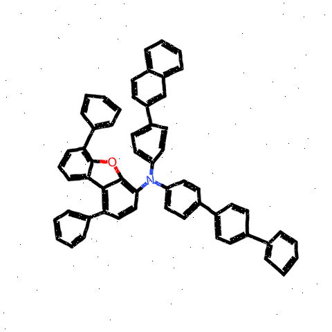 c1ccc(-c2ccc(-c3ccc(N(c4ccc(-c5ccc6ccccc6c5)cc4)c4ccc(-c5ccccc5)c5c4oc4c(-c6ccccc6)cccc45)cc3)cc2)cc1